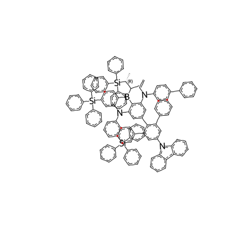 C=CN(c1ccc(-c2ccccc2)cc1)c1cc(-c2c(-c3ccccc3)cc(-n3c4ccccc4c4ccccc43)cc2-c2ccccc2)cc2c1B(C(C)[C@@H](C)[Si](c1ccccc1)(c1ccccc1)c1ccccc1)c1ccc([Si](c3ccccc3)(c3ccccc3)c3ccccc3)cc1N2c1cccc([Si](c2ccccc2)(c2ccccc2)c2ccccc2)c1